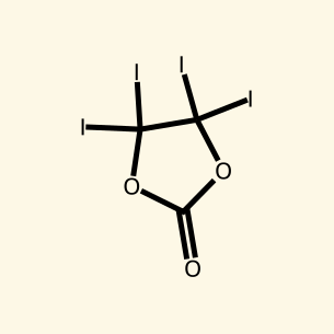 O=C1OC(I)(I)C(I)(I)O1